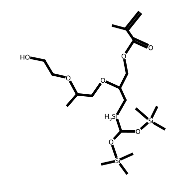 C=C(C)C(=O)OCC(C[SiH2]C(O[Si](C)(C)C)O[Si](C)(C)C)OCC(C)OCCO